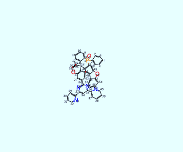 O=P1(c2ccccc2)c2ccccc2C2(c3ccccc3Oc3cc(-c4nc(-c5ccccn5)cc(-c5ccccn5)n4)ccc32)c2cc3c(cc21)oc1ccccc13